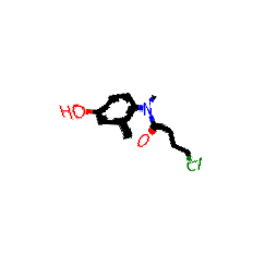 Cc1cc(O)ccc1N(C)C(=O)CCCCl